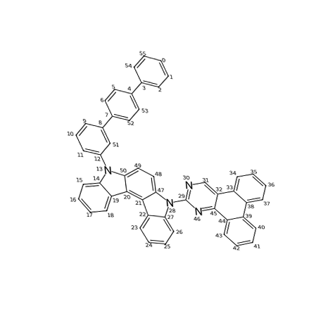 c1ccc(-c2ccc(-c3cccc(-n4c5ccccc5c5c6c7ccccc7n(-c7ncc8c9ccccc9c9ccccc9c8n7)c6ccc54)c3)cc2)cc1